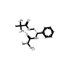 CC(C)C(C)(C(=O)OC[C@@H](NC(=O)[C@H](C)N)c1ccccc1)C(C)C